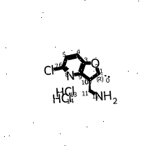 C[C@H]1Oc2ccc(Cl)nc2[C@@H]1CN.Cl.Cl